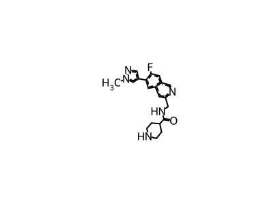 Cn1cc(-c2cc3cc(CNC(=O)C4CCNCC4)ncc3cc2F)cn1